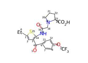 CCc1cc(C(=O)c2ccc(OC(F)(F)F)cc2)c(NC(=O)CN2CCC[C@H]2C(=O)O)s1